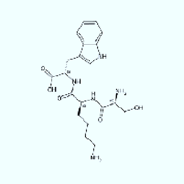 NCCCC[C@H](NC(=O)[C@@H](N)CO)C(=O)N[C@@H](Cc1c[nH]c2ccccc12)C(=O)O